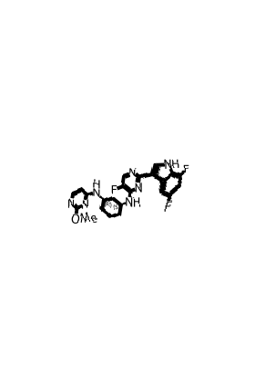 COc1nccc(N[C@@H]2CCC[C@H](Nc3nc(-c4c[nH]c5c(F)cc(F)cc45)ncc3F)C2)n1